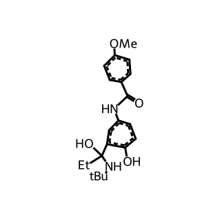 CCC(O)(NC(C)(C)C)c1cc(NC(=O)c2ccc(OC)cc2)ccc1O